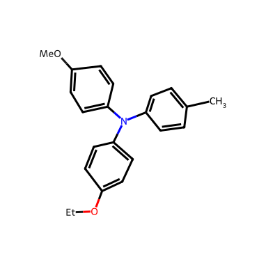 CCOc1ccc(N(c2ccc(C)cc2)c2ccc(OC)cc2)cc1